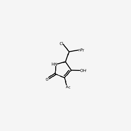 CCCC(Cl)C1NC(=O)C(C(C)=O)=C1O